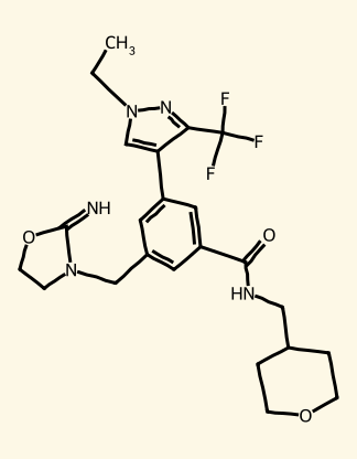 CCn1cc(-c2cc(CN3CCOC3=N)cc(C(=O)NCC3CCOCC3)c2)c(C(F)(F)F)n1